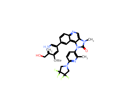 C=C(CO)/C(=C\C(=C/N)c1ccc2ncc3c(c2c1)n(-c1ccc(N2CC(F)(F)C(F)(F)C2)nc1C)c(=O)n3C)OC